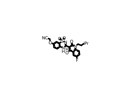 CC(C)CCn1c(=O)c(C2=NS(=O)(=O)c3cc(OCC#N)ccc3N2)c(O)c2cc(F)ccc21